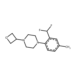 Cc1ccc(N2CCN(C3COC3)CC2)c(C(F)F)c1